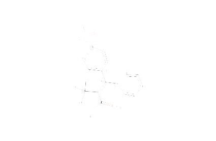 CC1(C)COC(=O)C1=C(c1ccccc1)c1ccc(S(C)(=O)=O)cc1